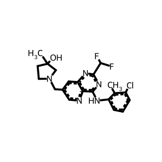 Cc1c(Cl)cccc1Nc1nc(C(F)F)nc2cc(CN3CCC(C)(O)C3)cnc12